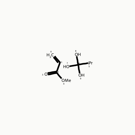 C=CC(=O)OC.CC(C)C(O)(O)O